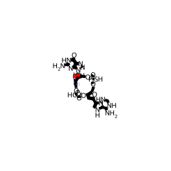 Nc1nc2c(nnn2C2=C3OP(=O)(S)OCc4oc(C5=CNC6C(N)NCNN56)cc4OP(=O)(O)O/C=C(/S2)[C@H]3O)c(=O)[nH]1